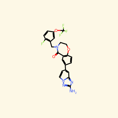 Nc1nc2cc(-c3ccc4c(c3)C(=O)N(Cc3cc(OC(F)(F)F)ccc3F)CCO4)ccn2n1